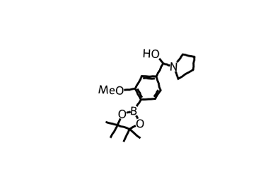 COc1cc(C(O)N2CCCC2)ccc1B1OC(C)(C)C(C)(C)O1